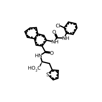 O=C(Nc1ccccc1Cl)Nc1cc2ccccc2cc1C(=O)N[C@@H](Cc1cccs1)C(=O)O